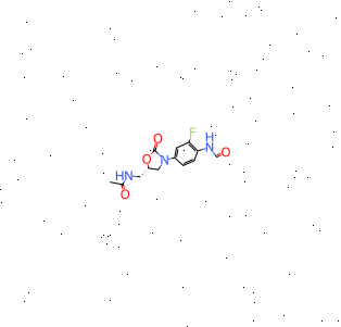 CC(=O)NC[C@H]1CN(c2ccc(NC=O)c(F)c2)C(=O)O1